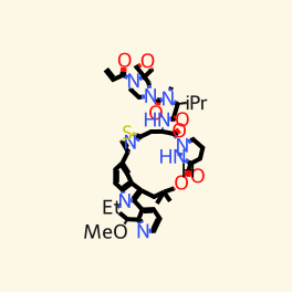 C=CC(=O)N1CCN(C(=O)N(C)[C@H](C(=O)N[C@H]2Cc3nc(cs3)-c3ccc4c(c3)c(c(-c3cccnc3[C@H](C)OC)n4CC)CC(C)(C)COC(=O)[C@@H]3CCCN(N3)C2=O)C(C)C)CC12COC2